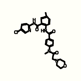 Cc1ccc(NC(=O)c2ccc(N(C)C(=O)CN3CCOCC3)cc2)c(C(=O)Nc2ccc(Cl)cn2)c1